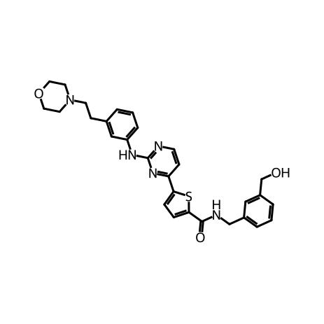 O=C(NCc1cccc(CO)c1)c1ccc(-c2ccnc(Nc3cccc(CCN4CCOCC4)c3)n2)s1